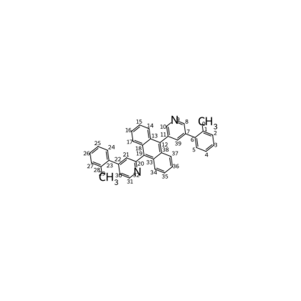 Cc1ccccc1-c1cncc(-c2c3ccccc3c(-c3cc(-c4ccccc4C)ccn3)c3ccccc23)c1